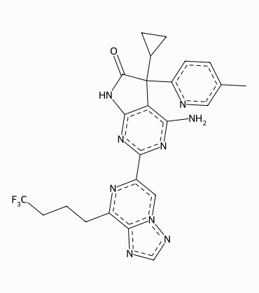 Cc1ccc(C2(C3CC3)C(=O)Nc3nc(-c4cn5ncnc5c(CCCC(F)(F)F)n4)nc(N)c32)nc1